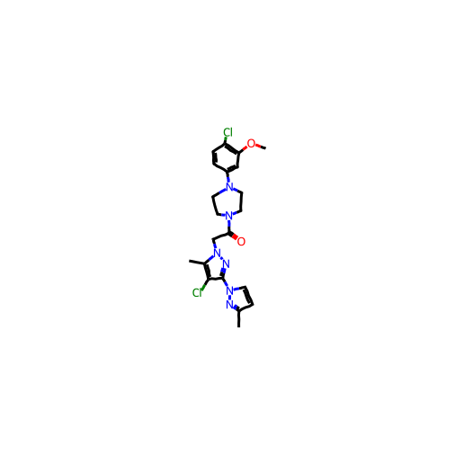 COc1cc(N2CCN(C(=O)Cn3nc(-n4ccc(C)n4)c(Cl)c3C)CC2)ccc1Cl